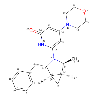 C[C@H]1[C@H]2C[C@H]2[C@H](Cc2ccccc2)N1c1cc(N2CCOCC2)cc(=O)[nH]1